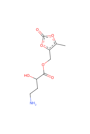 Cc1oc(=O)oc1COC(=O)C(O)CCN